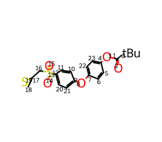 CC(C)(C)C(=O)Oc1ccc(Oc2ccc(S(=O)(=O)CC3CS3)cc2)cc1